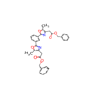 Cc1oc(-c2cccc(-c3nc(CC(=O)OCc4ccccc4)c(C)o3)c2)nc1CC(=O)OCc1ccccc1